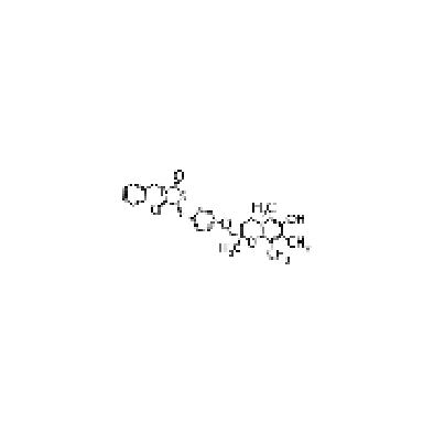 Cc1c(C)c2c(c(C)c1O)CCC(C)(COc1ccc(/C=C3\SC(=O)N(Cc4ccccc4)C3=O)cc1)O2